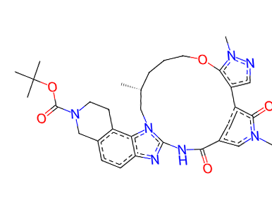 C[C@@H]1CCCOc2c(cnn2C)-c2cc(cn(C)c2=O)C(=O)Nc2nc3ccc4c(c3n2C1)CCN(C(=O)OC(C)(C)C)C4